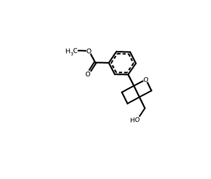 COC(=O)c1cccc(C23CCC2(CO)CO3)c1